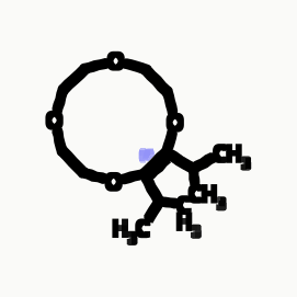 CC(C)/C1=C(\C(C)C)OCCOCCOCCO1